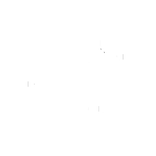 CNC1CCC(C)CC(C)C1